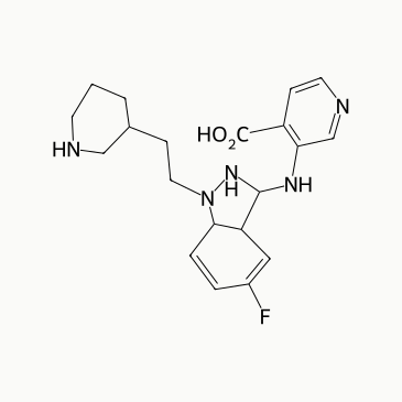 O=C(O)c1ccncc1NC1NN(CCC2CCCNC2)C2C=CC(F)=CC12